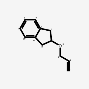 C=CCOC1Cc2ccccc2C1